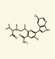 CC(=O)N(C(C)C)[C@@H](C)CN(C)c1nc(-c2c[nH]c3ncc(Cl)cc23)c(F)cc1C(N)=O